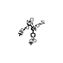 CC(C)(C)OC(=O)N1CCC(c2cc(-c3nc(Cl)ncc3OCCO[Si](C)(C)C(C)(C)C)n(COCC[Si](C)(C)C)n2)CC1